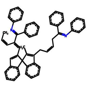 C\C=C/C(=C\C1=Cc2ccccc2C12C(C)=C(C/C=C\C/C(=N/c1ccccc1)c1ccccc1)c1ccccc12)C(=N/c1ccccc1)/c1ccccc1